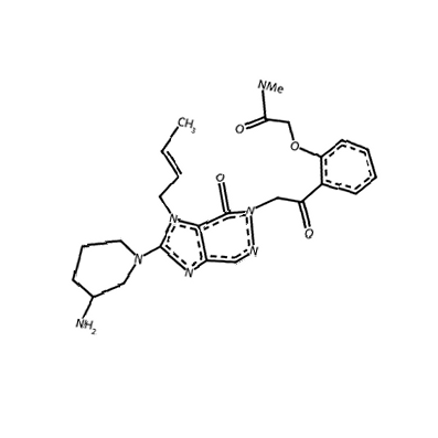 C/C=C/Cn1c(N2CCCC(N)C2)nc2cnn(CC(=O)c3ccccc3OCC(=O)NC)c(=O)c21